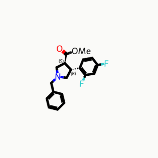 COC(=O)[C@@H]1CN(Cc2ccccc2)C[C@H]1c1ccc(F)cc1F